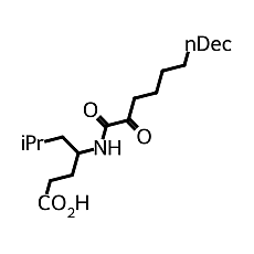 CCCCCCCCCCCCCCC(=O)C(=O)NC(CCC(=O)O)CC(C)C